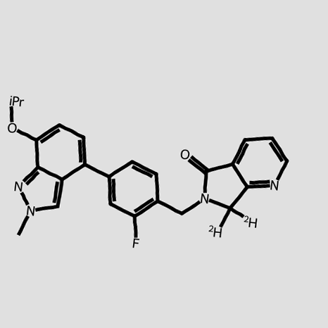 [2H]C1([2H])c2ncccc2C(=O)N1Cc1ccc(-c2ccc(OC(C)C)c3nn(C)cc23)cc1F